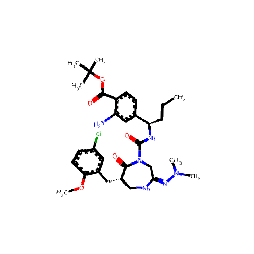 CCC[C@@H](NC(=O)N1C/C(=N\N(C)C)NC[C@H](Cc2cc(Cl)ccc2OC)C1=O)c1ccc(C(=O)OC(C)(C)C)c(N)c1